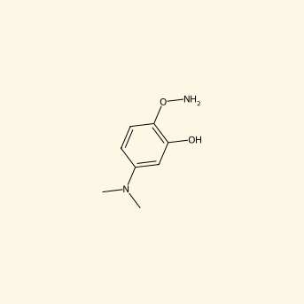 CN(C)c1ccc(ON)c(O)c1